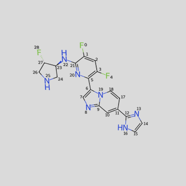 Fc1cc(F)c(-c2cnc3cc(-c4ncc[nH]4)ccn23)nc1N[C@H]1CNC[C@@H]1F